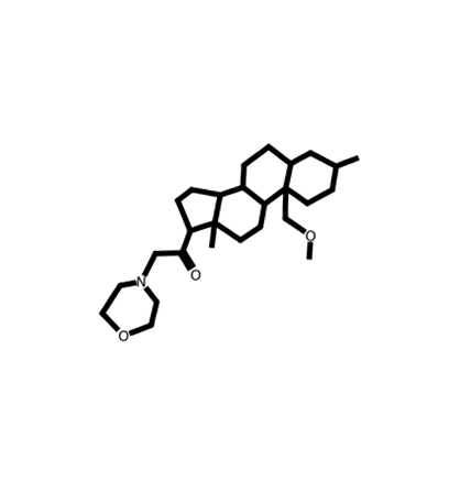 COCC12CCC(C)CC1CCC1C3CCC(C(=O)CN4CCOCC4)C3(C)CCC12